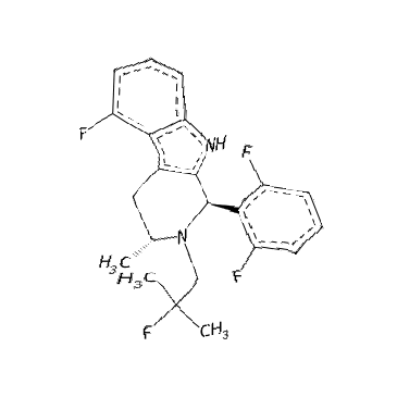 C[C@@H]1Cc2c([nH]c3cccc(F)c23)[C@@H](c2c(F)cccc2F)N1CC(C)(C)F